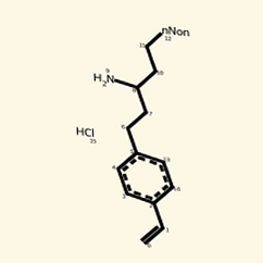 C=Cc1ccc(CCC(N)CCCCCCCCCCC)cc1.Cl